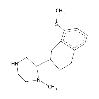 CSc1cccc2c1CC(C1CNCCN1C)CC2